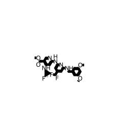 COC(=O)c1cnc(Nc2cc(C(F)F)cc(NCc3cc(OC)cc(OC)c3)n2)cc1N[C@H]1C[C@H]1F